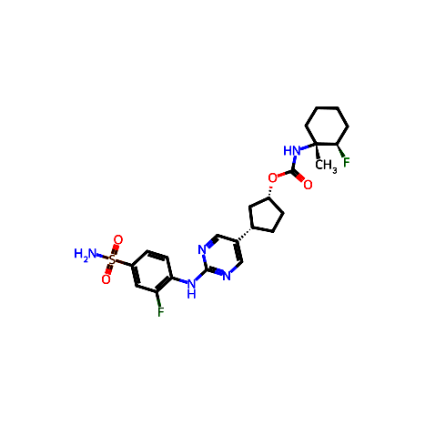 C[C@@]1(NC(=O)O[C@@H]2CC[C@H](c3cnc(Nc4ccc(S(N)(=O)=O)cc4F)nc3)C2)CCCC[C@H]1F